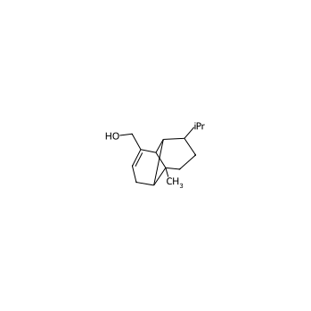 CC(C)C1CCC2(C)C3CC=C(CO)C2C13